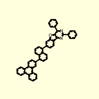 c1ccc(-c2nc(-c3ccccc3)c3oc4cc(-c5cccc6c(-c7ccc8c9ccccc9c9ccccc9c8c7)cccc56)ccc4c3n2)cc1